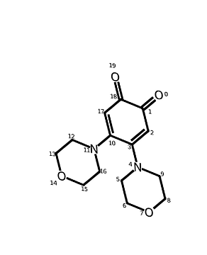 O=C1C=C(N2CCOCC2)C(N2CCOCC2)=CC1=O